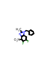 Cc1nc2c([N+](=O)[O-])c(F)c(F)cc2n1Cc1ccccc1